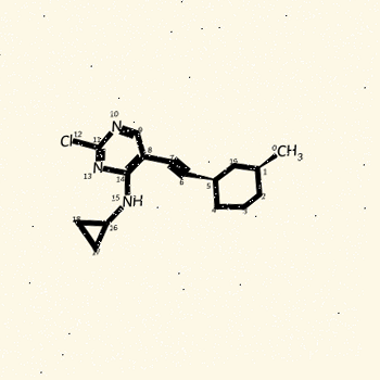 C[C@H]1CCC[C@@H](C#Cc2cnc(Cl)nc2NC2CC2)C1